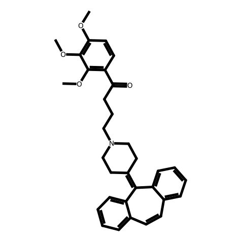 COc1ccc(C(=O)CCCN2CCC(=C3c4ccccc4C=Cc4ccccc43)CC2)c(OC)c1OC